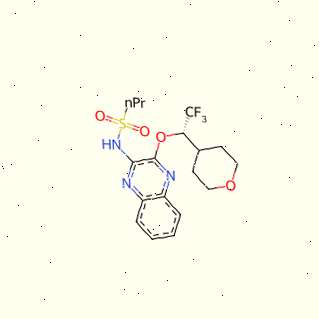 CCCS(=O)(=O)Nc1nc2ccccc2nc1O[C@@H](C1CCOCC1)C(F)(F)F